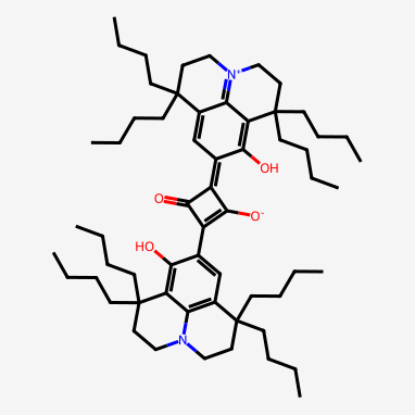 CCCCC1(CCCC)CCN2CCC(CCCC)(CCCC)c3c(O)c(C4=C([O-])/C(=c5/cc6c7c(c5O)C(CCCC)(CCCC)CC[N+]=7CCC6(CCCC)CCCC)C4=O)cc1c32